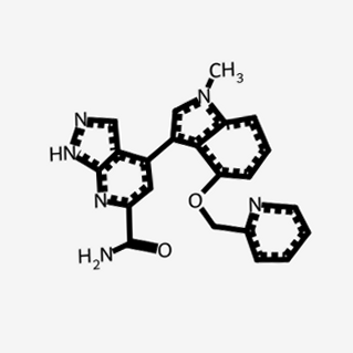 Cn1cc(-c2cc(C(N)=O)nc3[nH]ncc23)c2c(OCc3ccccn3)cccc21